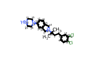 CC(C)(CCc1ccc(Cl)c(Cl)c1)N1Cc2ccc(N3CCNCC3)cc2C1